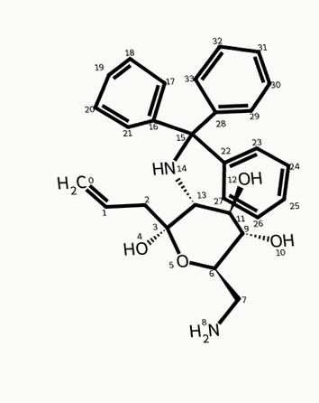 C=CC[C@]1(O)O[C@H](CN)[C@@H](O)[C@H](O)[C@H]1NC(c1ccccc1)(c1ccccc1)c1ccccc1